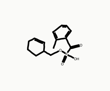 Cc1ccccc1C(=O)P(=O)(O)OCC1C=CCCC1